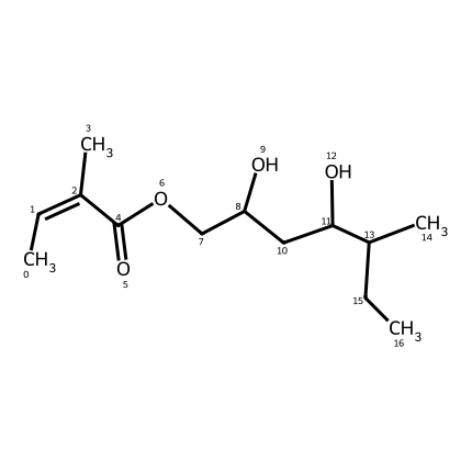 CC=C(C)C(=O)OCC(O)CC(O)C(C)CC